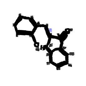 O=C1/C(=C/c2ccccc2Cl)Nc2ccccc21